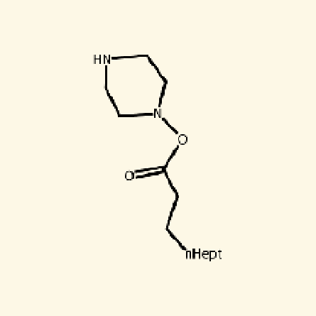 CCCCCCCCCC(=O)ON1CCNCC1